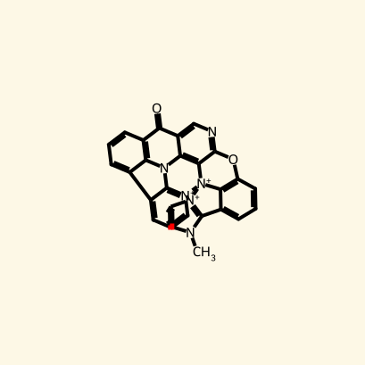 Cn1c2[n+](c3ccccc31)[N+]13c4c(cccc4-2)Oc2ncc4c(=O)c5cccc6c7ccc[n+]1c7n(c4c23)c56